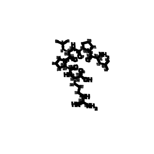 CC(C)C[C@H](NC(=O)[C@@H]1CCCN1C(=O)[C@@H](N)CC(C)C)C(=O)N1CCC[C@H]1C(=O)N[C@@H](CCCNC(=N)N)C(=O)O